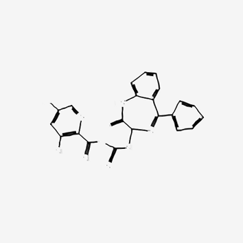 N=C(NC1N=C(c2ccccc2)c2ccccc2NC1=O)OC(=N)c1ncc(C(F)(F)F)cc1N